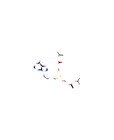 C=C(OCOP(=O)(CO[C@H](C)Cn1cnc2c(N)ncnc21)OCOC(=O)OC(C)C)OC(C)C